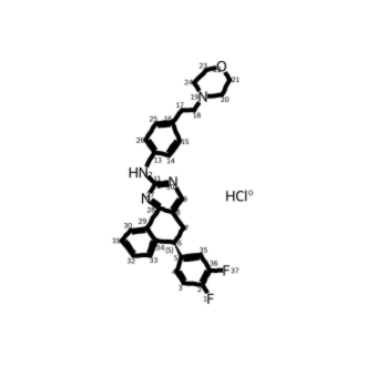 Cl.Fc1ccc([C@@H]2Cc3cnc(Nc4ccc(CCN5CCOCC5)cc4)nc3-c3ccccc32)cc1F